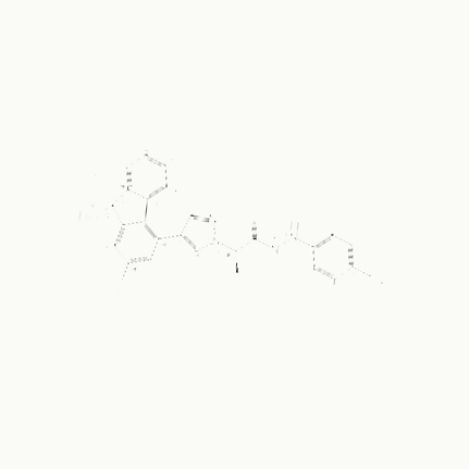 C[C@H](C(=O)NNc1ccc(F)cc1)n1cc(-c2cc(F)cc3c2-c2ccccc2[C@@]3(O)C(F)(F)F)cn1